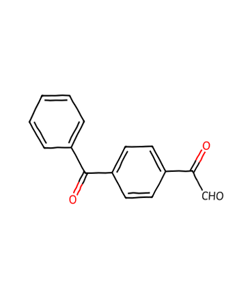 O=CC(=O)c1ccc(C(=O)c2ccccc2)cc1